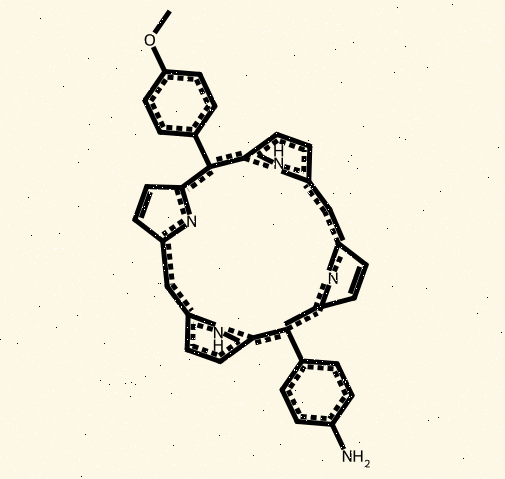 COc1ccc(-c2c3nc(cc4ccc([nH]4)c(-c4ccc(N)cc4)c4nc(cc5ccc2[nH]5)C=C4)C=C3)cc1